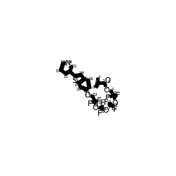 C=C(C)C(=O)OCC(F)(F)OC(F)(F)OC(F)(F)OC(F)(F)COc1ccc2cc(-c3cccnc3)sc2c1